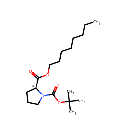 CCCCCCCCOC(=O)[C@@H]1CCCN1C(=O)OC(C)(C)C